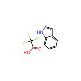 O=C(O)C(F)(F)F.c1ccc2[nH]ccc2c1